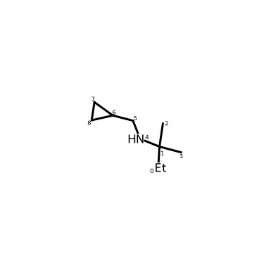 CCC(C)(C)NCC1CC1